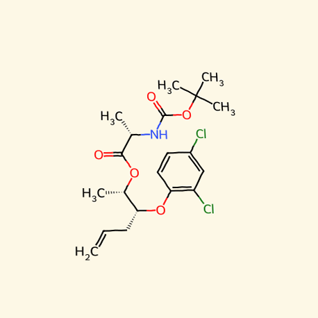 C=CC[C@@H](Oc1ccc(Cl)cc1Cl)[C@H](C)OC(=O)[C@H](C)NC(=O)OC(C)(C)C